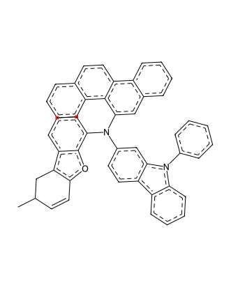 CC1C=Cc2oc3c(N(c4ccc5c6ccccc6n(-c6ccccc6)c5c4)c4cc5ccccc5c5ccc6ccccc6c45)cccc3c2C1